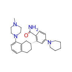 CN1CCN(c2cccc3c2C[C@H](c2cc(N4CCCCC4)ccc2C(N)=O)CC3)CC1